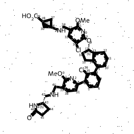 COc1nc(-c2cccc(-c3cccc4c3CC[C@@H]4Oc3nc(OC)c(CNC45CC(C(=O)O)(C4)C5)cc3Cl)c2Cl)ccc1CNC[C@@H]1CCC(=O)N1